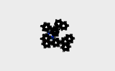 C1=Cc2c(cccc2-c2ccc(N(c3cc(-c4cc5ccccc5c5ccccc45)ccc3-c3ccccc3)c3ccccc3-n3c4ccccc4c4ccccc43)cc2)CC1